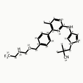 Cc1cnc(Nc2cnn(CC(C)(C)C#N)c2)nc1-c1ccc(COCNCC(F)(F)F)cc1